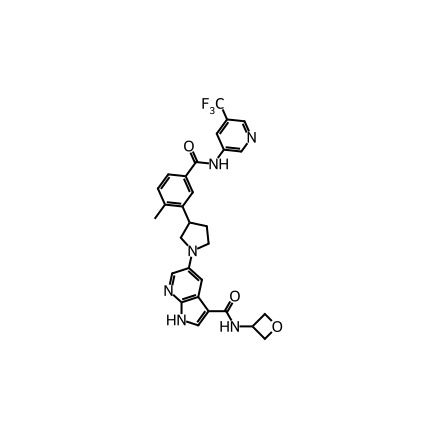 Cc1ccc(C(=O)Nc2cncc(C(F)(F)F)c2)cc1C1CCN(c2cnc3[nH]cc(C(=O)NC4COC4)c3c2)C1